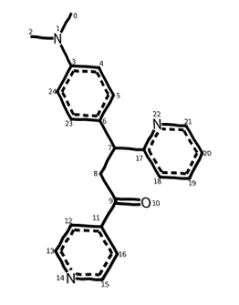 CN(C)c1ccc(C(CC(=O)c2ccncc2)c2ccccn2)cc1